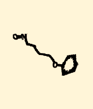 O=NCCCCOc1ccccc1